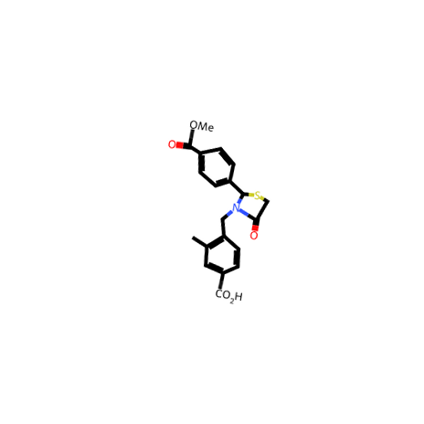 COC(=O)c1ccc(C2SCC(=O)N2Cc2ccc(C(=O)O)cc2C)cc1